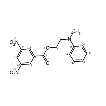 CN(CCOC(=O)c1cc([N+](=O)[O-])cc([N+](=O)[O-])c1)c1ccccc1